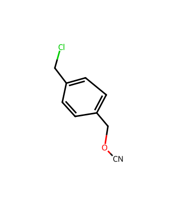 N#COCc1ccc(CCl)cc1